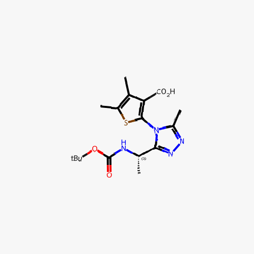 Cc1sc(-n2c(C)nnc2[C@H](C)NC(=O)OC(C)(C)C)c(C(=O)O)c1C